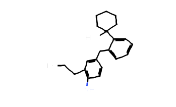 CCCc1cc(Cc2ccccc2C2(C)CCCCC2)ccc1N